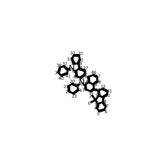 CC1(C)c2ccccc2-c2cccc(-c3ccc(N(c4ccccc4)c4ccc5c6ccccc6n(-c6ccccc6)c5c4)c4ccccc34)c21